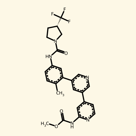 COC(=O)Nc1cc(-c2cncc(-c3cc(NC(=O)N4CC[C@H](C(F)(F)F)C4)ccc3C)c2)ccn1